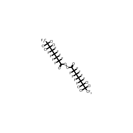 O=C(OOC(=O)C(F)(F)C(F)(F)C(F)(F)C(F)(F)C(Cl)(Cl)C(Cl)(Cl)C(F)(F)F)C(F)(F)C(F)(F)C(F)(F)C(F)(F)C(Cl)(Cl)C(Cl)(Cl)C(F)(F)F